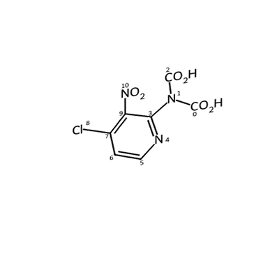 O=C(O)N(C(=O)O)c1nccc(Cl)c1[N+](=O)[O-]